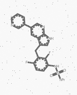 CCCS(=O)(=O)Nc1ccc(F)c(Cc2c[nH]c3ncc(-c4cccnc4)cc23)c1F